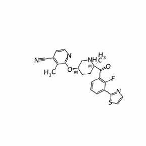 Cc1c(C#N)ccnc1O[C@@H]1CC[C@](C)(C(=O)c2cccc(-c3nccs3)c2F)NC1